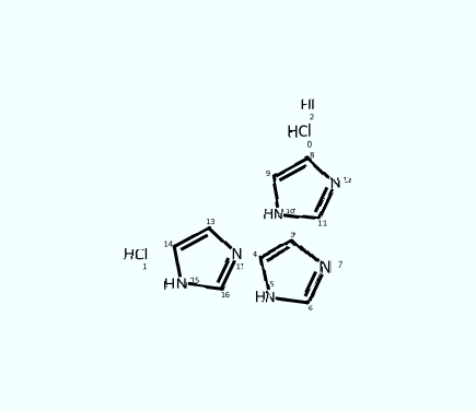 Cl.Cl.I.c1c[nH]cn1.c1c[nH]cn1.c1c[nH]cn1